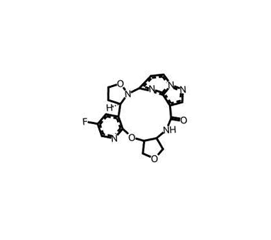 O=C1NC2COCC2Oc2ncc(F)cc2[C@H]2CCON2c2ccn3ncc1c3n2